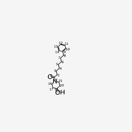 O=C(CCCCCCCc1ccccc1)N1CCC(O)CC1